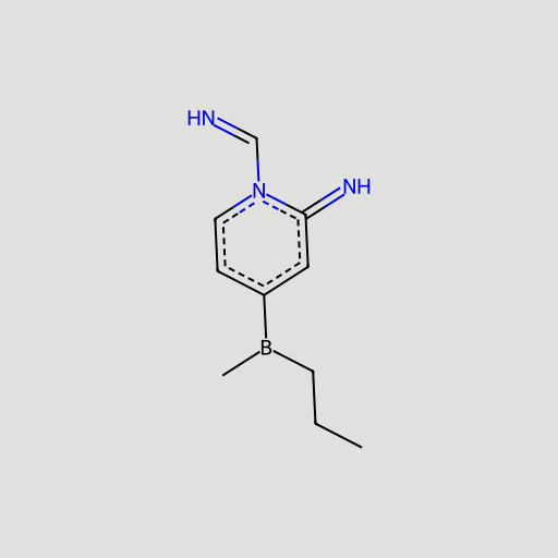 CCCB(C)c1ccn(C=N)c(=N)c1